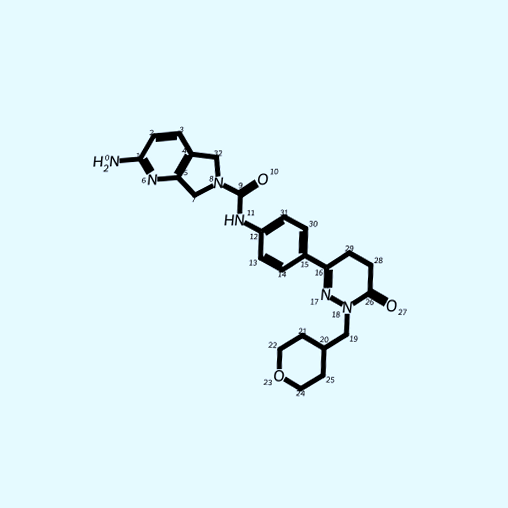 Nc1ccc2c(n1)CN(C(=O)Nc1ccc(C3=NN(CC4CCOCC4)C(=O)CC3)cc1)C2